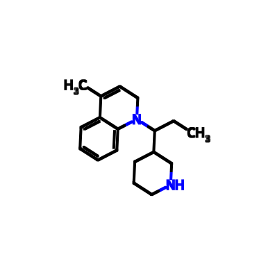 CCC(C1CCCNC1)N1CC=C(C)c2ccccc21